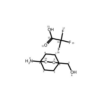 NC12CCC(CO)(CC1)OC2.O=C(O)C(F)(F)F